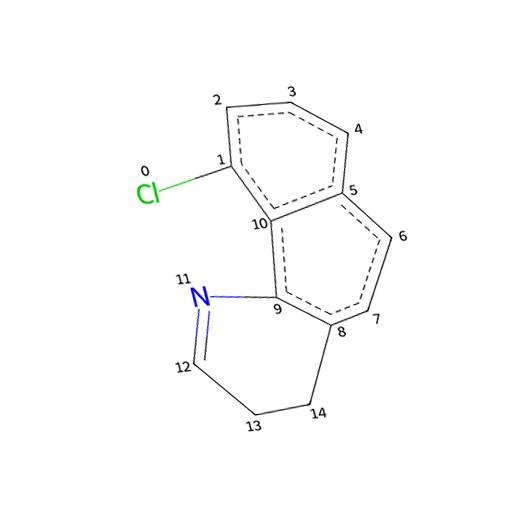 Clc1cccc2ccc3c(c12)N=CCC3